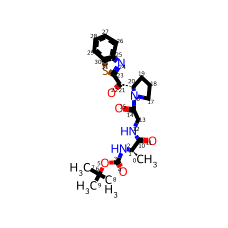 C[C@H](NC(=O)OC(C)(C)C)C(=O)NCC(=O)N1CCC[C@H]1C(=O)c1nc2ccccc2s1